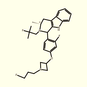 C[C@@H]1Cc2c([nH]c3ccccc23)C(c2ccc(OC3CN(CCCF)C3)cc2F)N1CC(C)(C)F